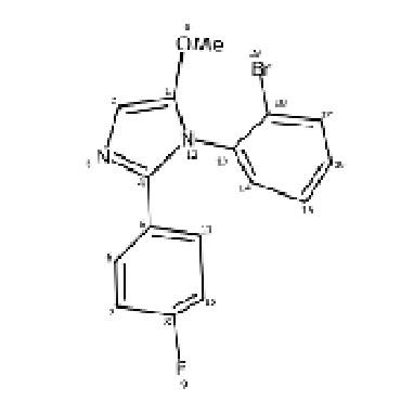 COc1cnc(-c2ccc(F)cc2)n1-c1ccccc1Br